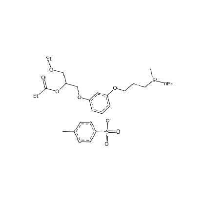 CCC[S+](C)CCCOc1cccc(OCC(COCC)OC(=O)CC)c1.Cc1ccc(S(=O)(=O)[O-])cc1